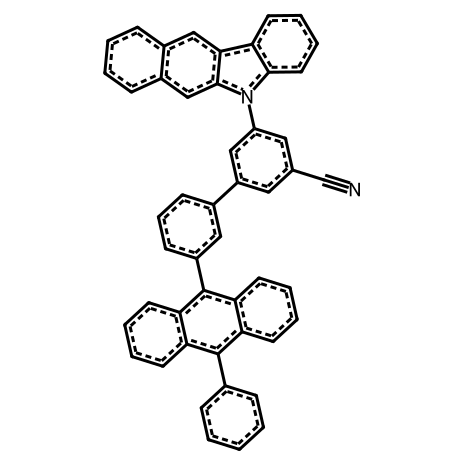 N#Cc1cc(-c2cccc(-c3c4ccccc4c(-c4ccccc4)c4ccccc34)c2)cc(-n2c3ccccc3c3cc4ccccc4cc32)c1